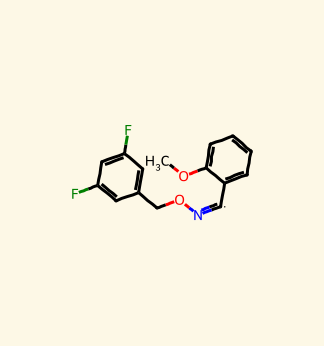 COc1ccccc1/[C]=N\OCc1cc(F)cc(F)c1